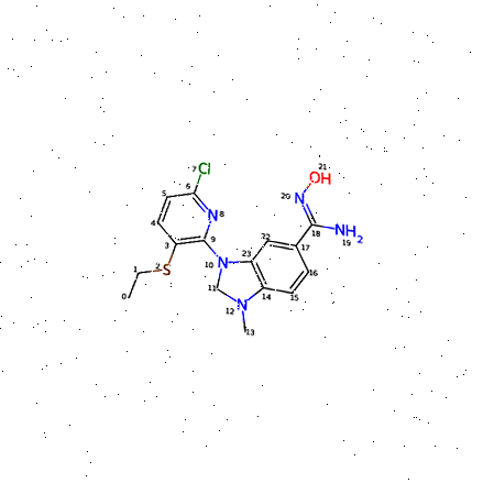 CCSc1ccc(Cl)nc1N1CN(C)c2ccc(C(N)=NO)cc21